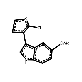 COc1ccc2[nH]cc(-c3ccsc3Cl)c2c1